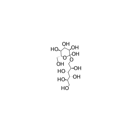 OC[C@@H](O)[C@@H](O)[C@H](O)[C@H](O)COC1(O)O[C@H](CO)[C@@H](O)[C@H](O)[C@H]1O